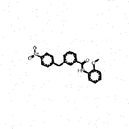 COc1ccccc1NC(=O)c1cccc(Cc2ccc([N+](=O)[O-])cc2)c1